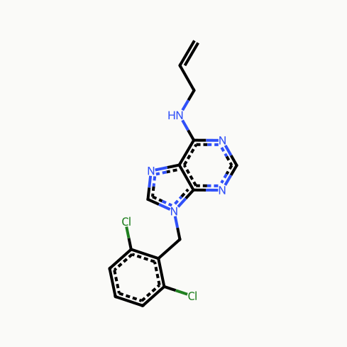 C=CCNc1ncnc2c1ncn2Cc1c(Cl)cccc1Cl